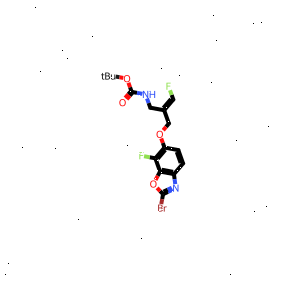 CC(C)(C)OC(=O)NC/C(=C\F)COc1ccc2nc(Br)oc2c1F